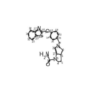 NC(=O)N1CCC2CN(Cc3ccc(Oc4nc5ccccc5s4)cc3)C=C21